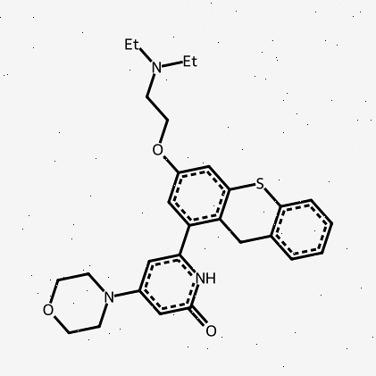 CCN(CC)CCOc1cc2c(c(-c3cc(N4CCOCC4)cc(=O)[nH]3)c1)Cc1ccccc1S2